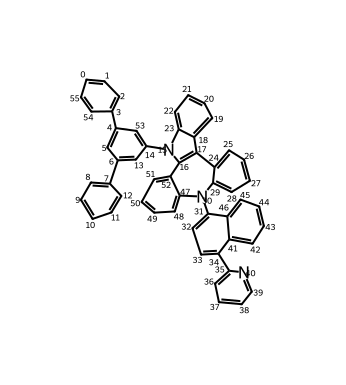 c1ccc(-c2cc(-c3ccccc3)cc(-n3c4c(c5ccccc53)-c3ccccc3N(c3ccc(-c5ccccn5)c5ccccc35)c3ccccc3-4)c2)cc1